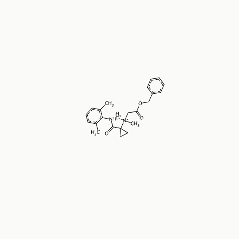 Cc1cccc(C)c1NC(=O)C1([N+](C)(C)CC(=O)OCc2ccccc2)CC1